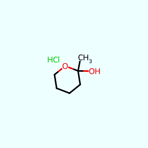 CC1(O)CCCCO1.Cl